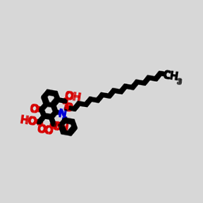 CCCCCCCCCCCCCCCCCCN(c1ccccc1)C1C(C(=O)O)=C(C(=O)O)C(=O)c2cccc(C(=O)O)c21